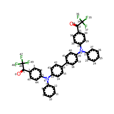 O=C(c1ccc(N(c2ccccc2)c2ccc(-c3ccc(N(c4ccccc4)c4ccc(C(=O)C(F)(F)F)cc4)cc3)cc2)cc1)C(F)(F)F